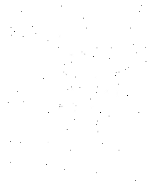 Clc1ncc2c(Br)c(Cl)n(C3CCOCC3)c2n1